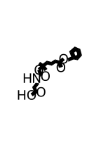 CC(C)(CCCC(=O)OCc1ccccc1)OC(=O)NCCC(=O)O